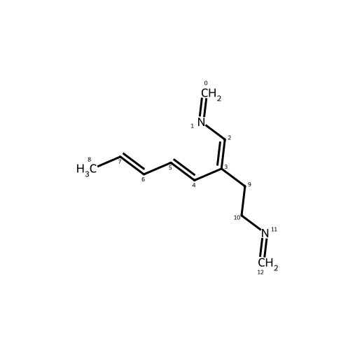 C=N\C=C(/C=C/C=C/C)CCN=C